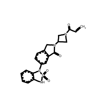 C=CC(=O)N1CC(N2Cc3ccc(N4c5ccccc5NS4(=O)=O)cc3C2=O)C1